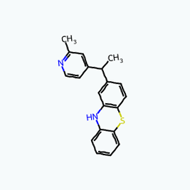 Cc1cc(C(C)c2ccc3c(c2)Nc2ccccc2S3)ccn1